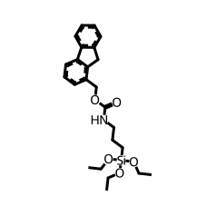 CCO[Si](CCCNC(=O)OCc1cccc2c1Cc1ccccc1-2)(OCC)OCC